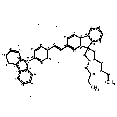 CCCCCCC1(CCCCCC)c2ccccc2C2C=CC(/C=C/C3C=CC(n4c5c(c6ccccc64)CCC=C5)=CC3)=CC21